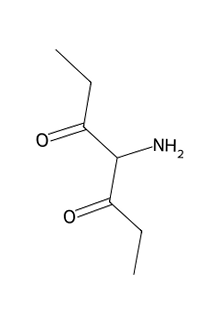 CCC(=O)C(N)C(=O)CC